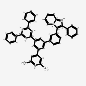 Cc1cc(-c2cc(-c3cccc(-c4c(-c5ccccc5)nc5ccccn45)c3)cc(-c3nc(-c4ccccc4)nc(-c4ccccc4)n3)c2)cc(C)n1